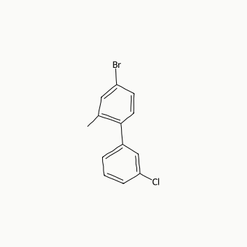 Cc1cc(Br)ccc1-c1cccc(Cl)c1